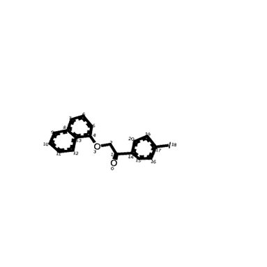 O=C(COc1cccc2ccccc12)c1ccc(I)cc1